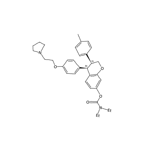 CCN(CC)C(=O)Oc1ccc2c(c1)OC[C@H](c1ccc(C)cc1)[C@@H]2c1ccc(OCCN2CCCC2)cc1